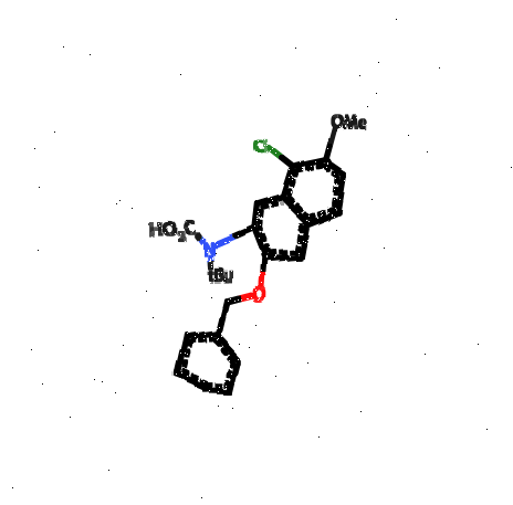 COc1ccc2cc(OCc3ccccc3)c(N(C(=O)O)C(C)(C)C)cc2c1Cl